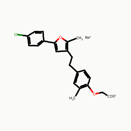 Cc1cc(CCc2cc(-c3ccc(Cl)cc3)oc2C)ccc1OCC(=O)[O-].[Na+]